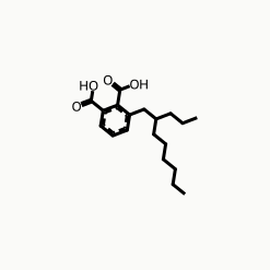 CCCCCCC(CCC)Cc1cccc(C(=O)O)c1C(=O)O